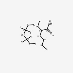 CCC(C)(C)OC(C)(C)CC.CCCCC(CC)C(=O)O